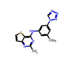 COc1cc(Nc2nc(C)nc3ccsc23)cc(-n2cnnn2)c1